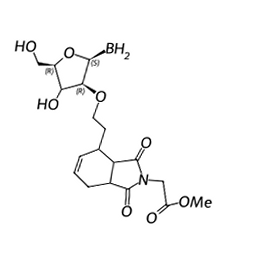 B[C@@H]1O[C@H](CO)C(O)[C@@H]1OCCC1C=CCC2C(=O)N(CC(=O)OC)C(=O)C12